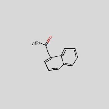 CCCCC(=O)c1cccc2ccccc12